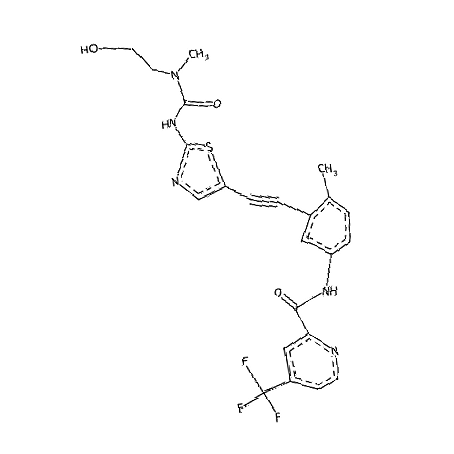 Cc1ccc(NC(=O)c2cc(C(F)(F)F)ccn2)cc1C#Cc1cnc(NC(=O)N(C)CCO)s1